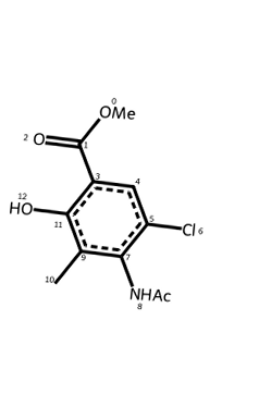 COC(=O)c1cc(Cl)c(NC(C)=O)c(C)c1O